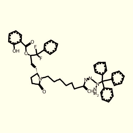 C=C(CCCCCCN1C(=O)CC[C@@H]1/C=C/[C@@H](OC(=O)c1ccccc1O)C(F)(F)c1ccccc1)/N=N\N(N)C(c1ccccc1)(c1ccccc1)c1ccccc1